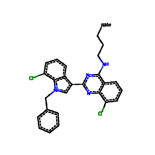 CNCCCNc1nc(-c2cn(Cc3ccccc3)c3c(Cl)cccc23)nc2c(Cl)cccc12